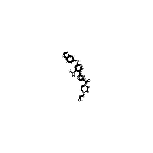 CC(C)Nc1cc(Nc2ccc3ncsc3c2)ncc1-c1nc(C(=O)N2CCN(CCO)CC2)cs1